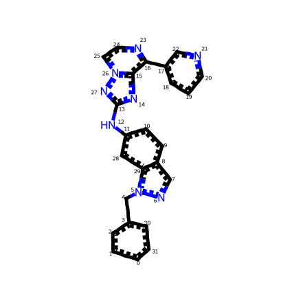 c1ccc(Cn2ncc3ccc(Nc4nc5c(-c6cccnc6)nccn5n4)cc32)cc1